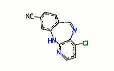 N#Cc1ccc2c(c1)Nc1nccc(Cl)c1N=C2